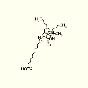 CCCCC(CC)CC(CCCCCCCCCCCCCC(=O)O)C(CC(CC)CCCC)(C(=O)O)C(C)C